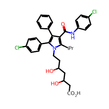 CC(C)c1c(C(=O)Nc2ccc(Cl)cc2)c(-c2ccccc2)c(-c2ccc(Cl)cc2)n1CCC(O)CC(O)CC(=O)O